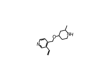 C=Cc1cnccc1COC1CCNC(C)C1